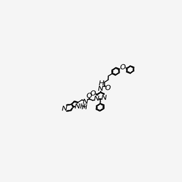 O=C(Cn1c(-c2ccccc2)ncc(NC(=O)CCCc2ccc(Oc3ccccc3)cc2)c1=O)NCc1cc2cnccc2[nH]1